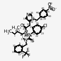 CC[C@H](C)[C@@H](CN(Cc1ccccc1C(F)(F)F)C(=S)Nc1ccc(Cl)cc1)NC(=O)Cc1cncn1Cc1ccc([N+](=O)[O-])cc1